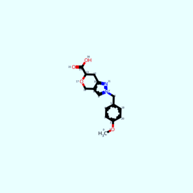 COc1ccc(Cn2cc3c(n2)CC(C(=O)O)OC3)cc1